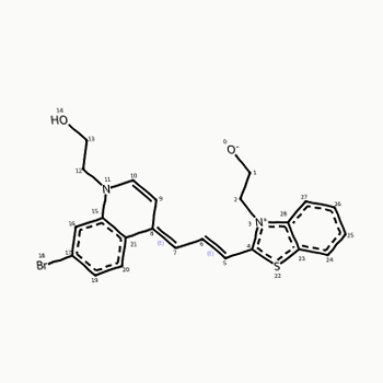 [O-]CC[n+]1c(/C=C/C=C2\C=CN(CCO)c3cc(Br)ccc32)sc2ccccc21